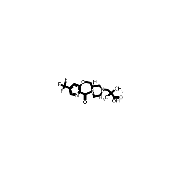 CC(C)(CN1CCN2C(=O)c3ncc(C(F)(F)F)cc3OC[C@H]2C1)C(=O)O